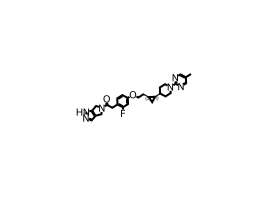 Cc1cnc(N2CCC([C@H]3C[C@H]3CCOc3ccc(CC(=O)N4Cc5cn[nH]c5C4)c(F)c3)CC2)nc1